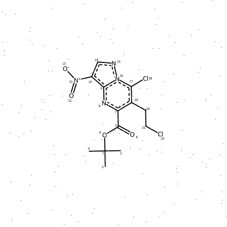 CC(C)(C)OC(=O)c1nc2c([N+](=O)[O-])cnn2c(Cl)c1CCCl